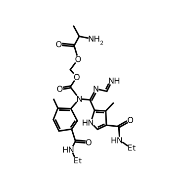 CCNC(=O)c1ccc(C)c(N(C(=O)OCOC(=O)C(C)N)/C(=N/C=N)c2[nH]cc(C(=O)NCC)c2C)c1